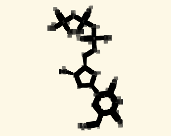 C=Cc1cn([C@H]2C[C@H](O)[C@@H](COP(=O)(O)OP(=O)(O)OP(=O)(O)O)O2)c(=O)[nH]c1=O